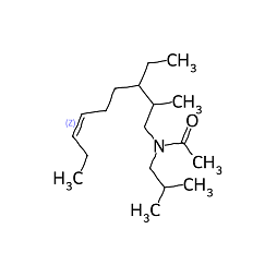 CC/C=C\CCC(CC)C(C)CN(CC(C)C)C(C)=O